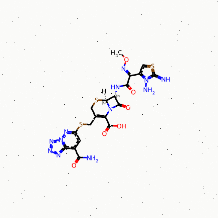 CON=C(C(=O)N[C@@H]1C(=O)N2C(C(=O)O)=C(CSc3cc(C(N)=O)c4nnnn4n3)CS[C@@H]12)c1csc(=N)n1N